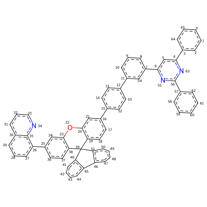 c1ccc(-c2cc(-c3cccc(-c4ccc(-c5ccc6c(c5)Oc5cc(-c7cccc8cccnc78)ccc5C65c6ccccc6-c6ccccc65)cc4)c3)nc(-c3ccccc3)n2)cc1